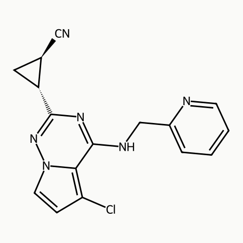 N#C[C@@H]1C[C@H]1c1nc(NCc2ccccn2)c2c(Cl)ccn2n1